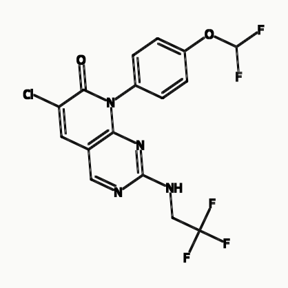 O=c1c(Cl)cc2cnc(NCC(F)(F)F)nc2n1-c1ccc(OC(F)F)cc1